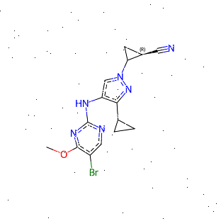 COc1nc(Nc2cn(C3C[C@H]3C#N)nc2C2CC2)ncc1Br